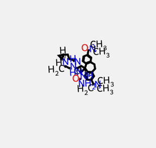 C=C(c1ccc2c(c1)CCc1cc(C(=O)N(C)C)ccc1C2(C[C@H](C)NCC(=C)N1C(C#N)C[C@@H]2C[C@@H]21)C(=N)NC(N)=O)N(C)C